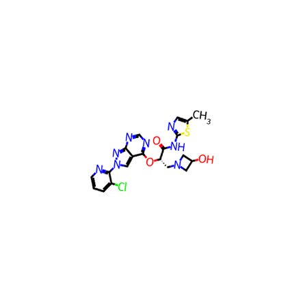 Cc1cnc(NC(=O)[C@H](CN2CC(O)C2)Oc2ncnc3nn(-c4ncccc4Cl)cc23)s1